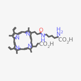 C=CC1=C(C)C2=NC1=CC1=NC(=CC3=NC(=CC4=NC(=C2)C(C=C)=C4C)C(C)C3CCC(=O)O)C(CCC(=O)NCCCC[C@H](N)C(=O)O)=C1C